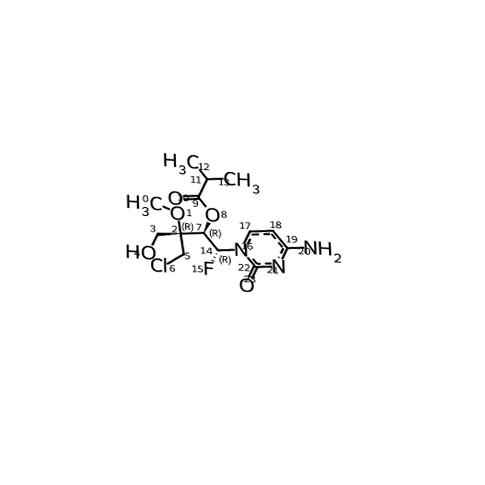 CO[C@@](CO)(CCl)[C@@H](OC(=O)C(C)C)[C@@H](F)n1ccc(N)nc1=O